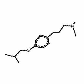 CC(C)CSc1ccc(CCCN(C)C)cc1